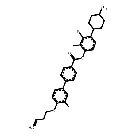 C=CCCOc1ccc(-c2ccc(C(=O)Oc3ccc(C4CCC(C)CC4)c(F)c3F)cc2)cc1F